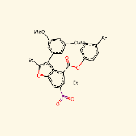 CCc1oc2cc(P(=O)=O)c(CC)c(C(=O)Oc3ccc(C(C)=O)cc3)c2c1-c1cc(OC)cc(OC)c1